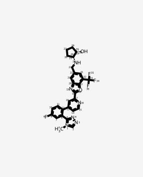 Cn1cnnc1-c1cc(F)ccc1-c1ccnc(-c2nc3cc(CN[C@@H]4CCC[C@@H]4O)cc(C(F)(F)F)c3o2)c1